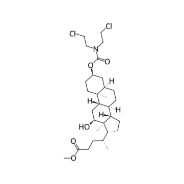 COC(=O)CC[C@@H](C)[C@H]1CC[C@H]2[C@@H]3CC[C@@H]4C[C@H](OC(=O)N(CCCl)CCCl)CC[C@]4(C)[C@H]3C[C@H](O)[C@]12C